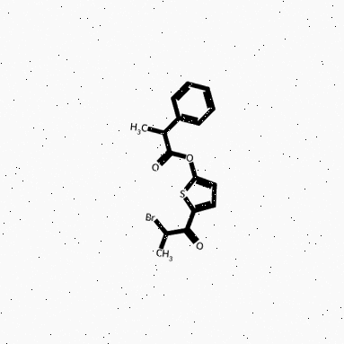 CC(Br)C(=O)c1ccc(OC(=O)C(C)c2ccccc2)s1